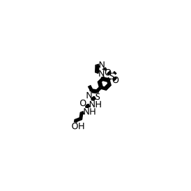 Cc1nc(NC(=O)NCCCO)sc1-c1ccc(S(C)(=O)=O)c(-n2ccnc2)c1